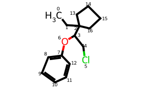 CCC1(C([CH]Cl)Oc2ccccc2)CCCC1